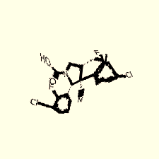 CC(C)(C)C[C@H]1CN(C(=O)O)[C@@H](c2cccc(Cl)c2F)[C@]1(C#N)c1ccc(Cl)cc1F